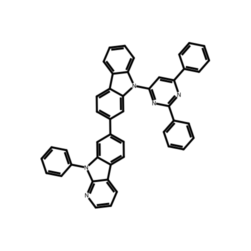 c1ccc(-c2cc(-n3c4ccccc4c4ccc(-c5ccc6c7cccnc7n(-c7ccccc7)c6c5)cc43)nc(-c3ccccc3)n2)cc1